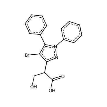 O=C(O)C(CO)c1nn(-c2ccccc2)c(-c2ccccc2)c1Br